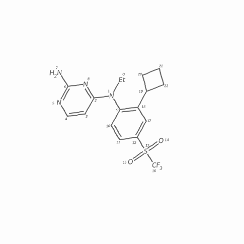 CCN(c1ccnc(N)n1)c1ccc(S(=O)(=O)C(F)(F)F)cc1C1CCC1